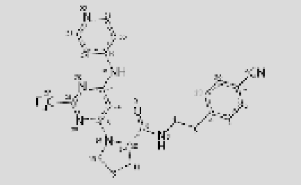 N#Cc1ccc(CCNC(=O)[C@@H]2CCCN2c2cc(Nc3ccncc3)nc(C(F)(F)F)n2)cc1